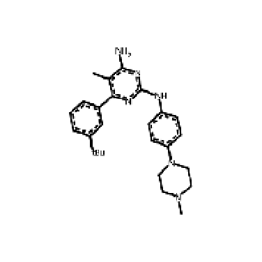 Cc1c(N)nc(Nc2ccc(N3CCN(C)CC3)cc2)nc1-c1cccc(C(C)(C)C)c1